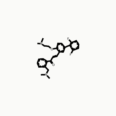 CN(C)CCOc1ccc(-c2c(F)cccc2F)cc1C=CC(=O)c1ccccc1CN(C)C